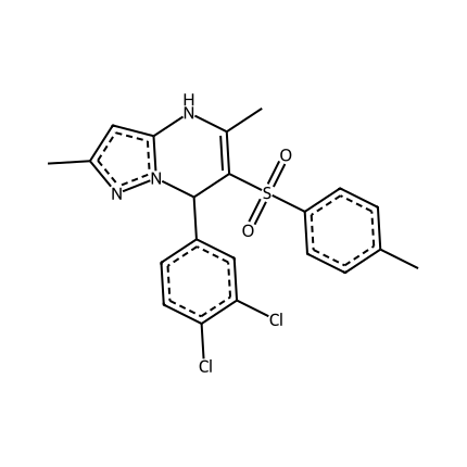 CC1=C(S(=O)(=O)c2ccc(C)cc2)C(c2ccc(Cl)c(Cl)c2)n2nc(C)cc2N1